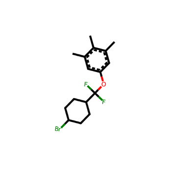 Cc1cc(OC(F)(F)C2CCC(Br)CC2)cc(C)c1C